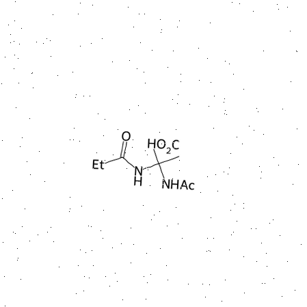 CCC(=O)NC(C)(NC(C)=O)C(=O)O